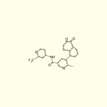 Cc1ncc(C(=O)Nc2ccnc(C(F)(F)F)c2)cc1-c1cccc2c(=O)[nH]ccc12